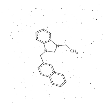 CCN1CN(Cc2ccc3ccccc3c2)c2ccccc21